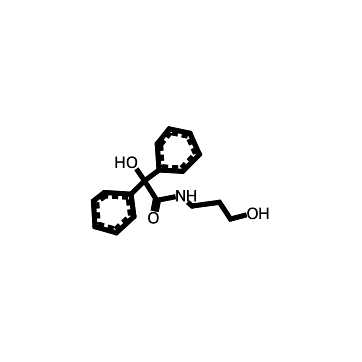 O=C(NCCCO)C(O)(c1ccccc1)c1ccccc1